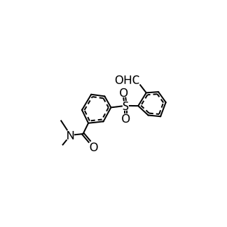 CN(C)C(=O)c1cccc(S(=O)(=O)c2ccccc2C=O)c1